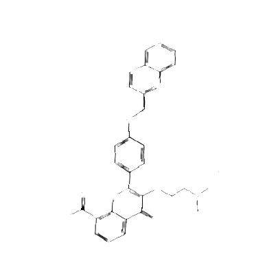 CN(C)CCOc1c(-c2ccc(OCc3ccc4ccccc4n3)cc2)oc2c(C(=O)O)cccc2c1=O.Cl